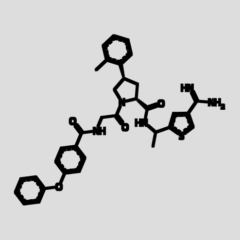 Cc1ccccc1[C@H]1C[C@@H](C(=O)NC(C)c2cc(C(=N)N)cs2)N(C(=O)CNC(=O)c2ccc(Oc3ccccc3)cc2)C1